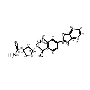 CN(C(=O)c1ccc(-c2nc3ncccc3o2)cc1F)[C@@H]1CC[C@H](C(N)=O)C1